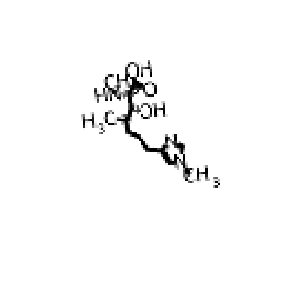 CN[C@H](C(=O)O)[C@H](O)[C@H](C)CCCc1cn(C)cn1